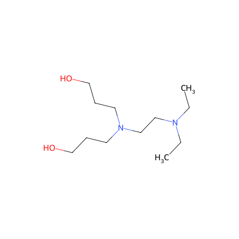 CCN(CC)CCN(CCCO)CCCO